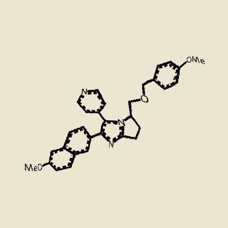 COc1ccc(COCC2CCc3nc(-c4ccc5cc(OC)ccc5c4)c(-c4ccncc4)n32)cc1